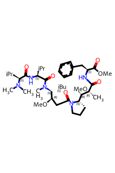 CC[C@H](C)[C@@H]([C@@H](CC(=O)N1CCC[C@H]1[C@H](OC)[C@@H](C)C(=O)N[C@@H](Cc1ccccc1)C(=O)OC)OC)N(C)C(=O)[C@@H](NC(=O)[C@H](C(C)C)N(C)C)C(C)C